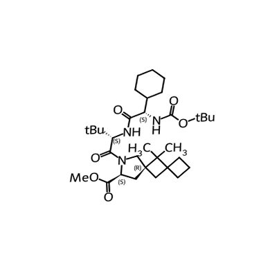 COC(=O)[C@@H]1C[C@]2(CN1C(=O)[C@@H](NC(=O)[C@@H](NC(=O)OC(C)(C)C)C1CCCCC1)C(C)(C)C)CC1(CCC1)C2(C)C